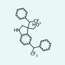 OCC1(C(c2ccccc2)C(F)(F)F)CNc2ccc(C(c3ccccc3)C(F)(F)F)cc21